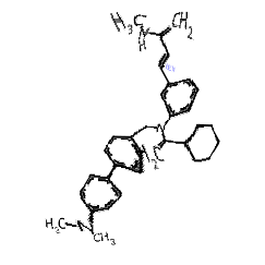 C=C(/C=C/c1cccc(N(Cc2ccc(-c3ccc(N(C)C)cc3)cc2)C(=C)C2CCCCC2)c1)NC